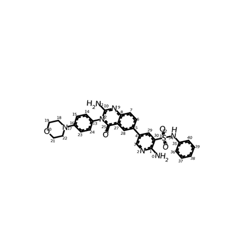 Nc1ncc(-c2ccc3nc(N)n(-c4ccc(N5CCOCC5)cc4)c(=O)c3c2)cc1S(=O)(=O)Nc1ccccc1